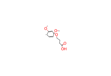 COC1=CC(OC)(OCCCC(=O)O)C=C[CH]1